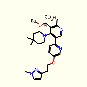 Cc1ncc(-c2ccc(OCCc3ccn(C)n3)cn2)c(N2CCC(C)(C)CC2)c1[C@H](OC(C)(C)C)C(=O)O